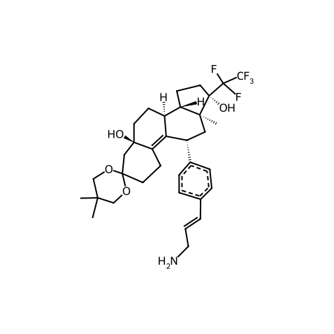 CC1(C)COC2(CCC3=C4[C@@H](CC[C@@]3(O)C2)[C@@H]2CC[C@@](O)(C(F)(F)C(F)(F)F)[C@@]2(C)C[C@@H]4c2ccc(C=CCN)cc2)OC1